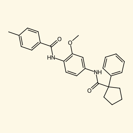 COc1cc(NC(=O)C2(c3ccccc3)CCCC2)ccc1NC(=O)c1ccc(C)cc1